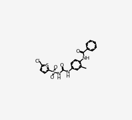 Cc1cc(NC(=O)NS(=O)(=O)c2ccc(Cl)s2)ccc1NC(=O)c1ccccc1